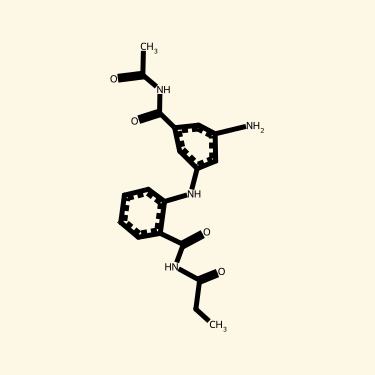 CCC(=O)NC(=O)c1c[c]ccc1Nc1cc(N)cc(C(=O)NC(C)=O)c1